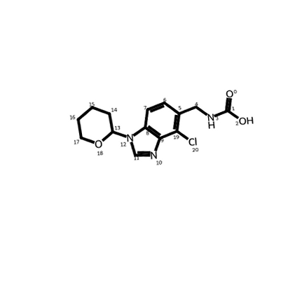 O=C(O)NCc1ccc2c(ncn2C2CCCCO2)c1Cl